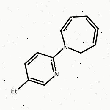 CCc1ccc(N2C=CC=C=CC2)nc1